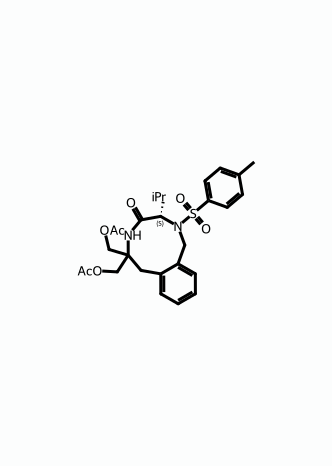 CC(=O)OCC1(COC(C)=O)Cc2ccccc2CN(S(=O)(=O)c2ccc(C)cc2)[C@@H](C(C)C)C(=O)N1